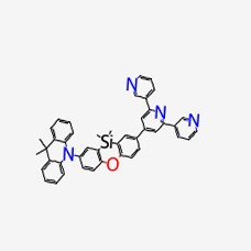 CC1(C)c2ccccc2N(c2ccc3c(c2)[Si](C)(C)c2cc(-c4cc(-c5cccnc5)nc(-c5cccnc5)c4)ccc2O3)c2ccccc21